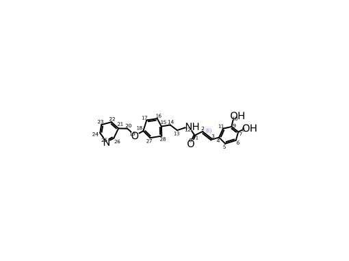 O=C(/C=C/c1ccc(O)c(O)c1)NCCc1ccc(OCc2cccnc2)cc1